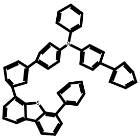 c1ccc(-c2ccc(N(c3ccccc3)c3ccc(-c4cccc(-c5cccc6c5sc5c(-c7ccccc7)cccc56)c4)cc3)cc2)cc1